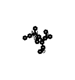 c1ccc(-c2ccc(-c3nc(-c4ccccc4)nc(-c4ccc(-n5c6ccc(-c7ccc8oc9ccccc9c8c7)cc6c6cc7c8ccccc8n(-c8ccccc8)c7cc65)c5c4oc4ccccc45)n3)cc2)cc1